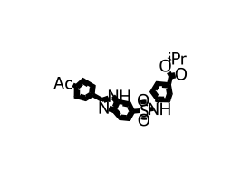 CC(=O)c1ccc(-c2nc3ccc(S(=O)(=O)Nc4ccc(C(=O)OC(C)C)cc4)cc3[nH]2)cc1